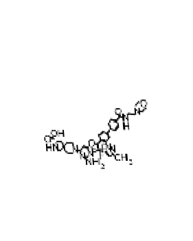 Cc1ccn(-c2cc(-c3ccc(C(=O)NCCN4CCOCC4)cc3)ccc2[C@@H](Oc2cc(N3CCC4(CC3)CN[C@H](C(=O)O)C4)nc(N)n2)C(F)(F)F)n1